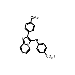 COc1ccc(-c2nc3cnccn3c2Nc2ccc(C(=O)O)cc2)cc1